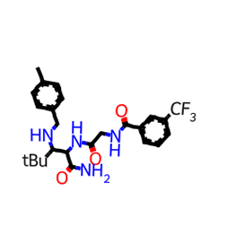 Cc1ccc(CNC(C(NC(=O)CNC(=O)c2cccc(C(F)(F)F)c2)C(N)=O)C(C)(C)C)cc1